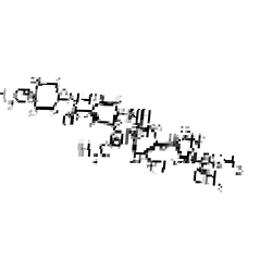 COc1cc(C(=O)NC2CCN(C)CC2)ccc1Nc1ncc(Cl)c(-c2cnn(C(C)C)c2)n1